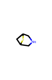 C1NCC2C[C]1S2